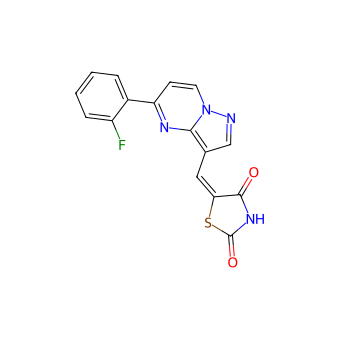 O=C1NC(=O)C(=Cc2cnn3ccc(-c4ccccc4F)nc23)S1